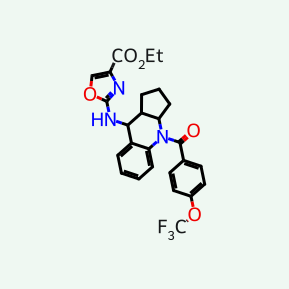 CCOC(=O)c1coc(NC2c3ccccc3N(C(=O)c3ccc(OC(F)(F)F)cc3)C3CCCC23)n1